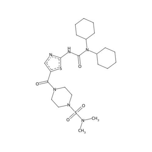 CN(C)S(=O)(=O)N1CCN(C(=O)c2cnc(NC(=O)N(C3CCCCC3)C3CCCCC3)s2)CC1